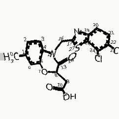 Cc1ccc2c(c1)OC(CC(=O)O)C(=O)N2Cc1nc2ccc(Cl)c(Cl)c2s1